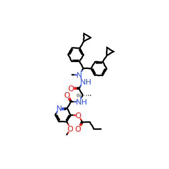 CCCC(=O)Oc1c(OC)ccnc1C(=O)N[C@@H](C)C(=O)NN(C)C(c1cccc(C2CC2)c1)c1cccc(C2CC2)c1